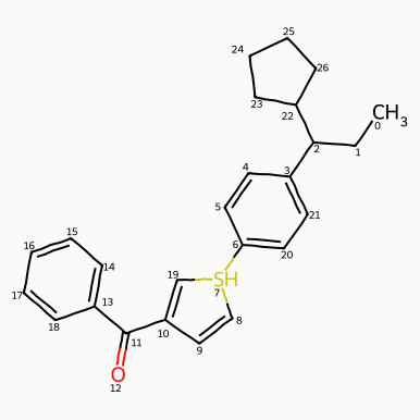 CCC(c1ccc([SH]2C=CC(C(=O)c3ccccc3)=C2)cc1)C1CCCC1